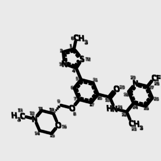 Cc1cnc(-c2cc(OC[C@H]3CN(C)CCO3)cc(C(=O)NC(C)c3ccc(C(F)(F)F)nc3)c2)s1